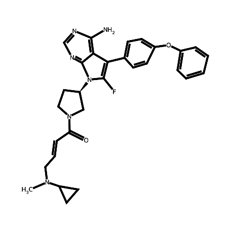 CN(CC=CC(=O)N1CC[C@@H](n2c(F)c(-c3ccc(Oc4ccccc4)cc3)c3c(N)ncnc32)C1)C1CC1